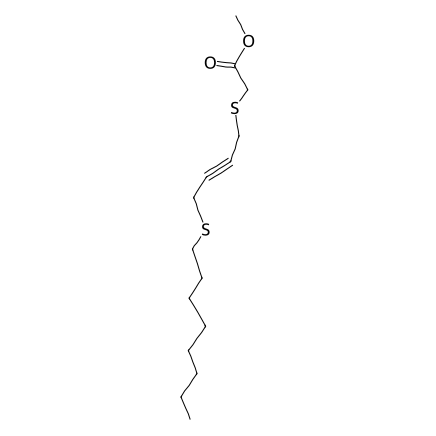 CCCCCCCCSCC#CCSCC(=O)OC